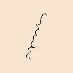 CCOCC(=O)OCCOCCOCCOC